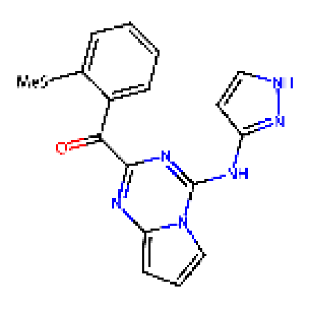 CSc1ccccc1C(=O)c1nc(Nc2cc[nH]n2)n2cccc2n1